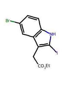 CCOC(=O)Cc1c(I)[nH]c2ccc(Br)cc12